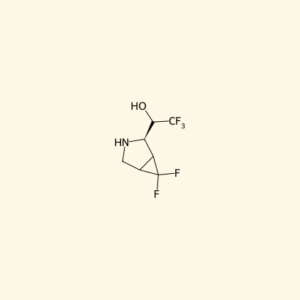 OC([C@@H]1NCC2C1C2(F)F)C(F)(F)F